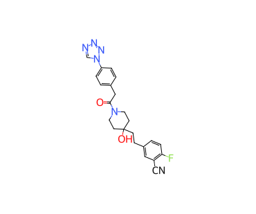 N#Cc1cc(CCC2(O)CCN(C(=O)Cc3ccc(-n4cnnn4)cc3)CC2)ccc1F